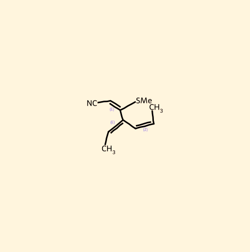 C\C=C/C(=C\C)C(=C\C#N)/SC